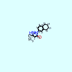 Cc1cc(=O)n(-c2ccc3c(c2)CCCC3)[nH]1